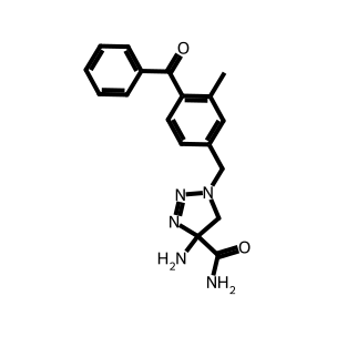 Cc1cc(CN2CC(N)(C(N)=O)N=N2)ccc1C(=O)c1ccccc1